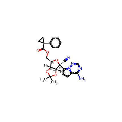 CC1(C)O[C@H]2[C@@H](O1)[C@](C#N)(c1ccc3c(N)ncnn13)O[C@@H]2COC(=O)C1(c2ccccc2)CC1